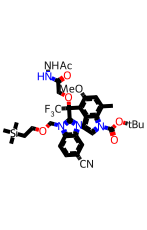 COc1cc(C)c2c(ccn2C(=O)OC(C)(C)C)c1C(OCC(=O)NNC(C)=O)(c1nc2cc(C#N)ccc2n1COCC[Si](C)(C)C)C(F)(F)F